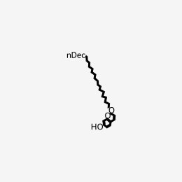 CCCCCCCCCCCCCCCCCCCCCCCCCCCCOC(=O)/C=C\c1ccc(O)cc1